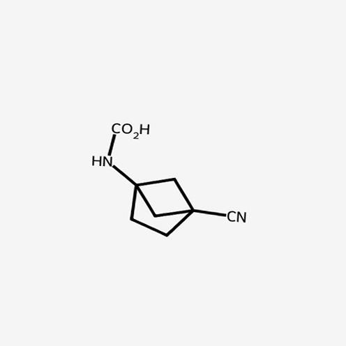 N#CC12CCC(NC(=O)O)(C1)C2